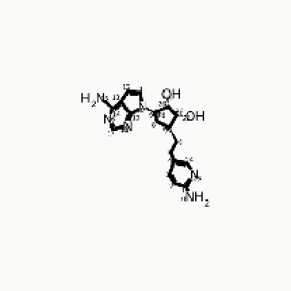 Nc1ccc(CC[C@H]2C[C@@H](n3ccc4c(N)ncnc43)[C@H](O)[C@@H]2O)cn1